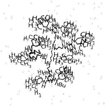 CCCCN(c1nc(NCCCN(CCCCN(CCCNc2nc(NC3CC(C)(C)N(C)C(C)(C)C3)nc(NC3CC(C)(C)N(C)C(C)(C)C3)n2)CCCNc2nc(NC3CC(C)(C)N(C)C(C)(C)C3)nc(NC3CC(C)(C)N(C)C(C)(C)C3)n2)CCCNc2nc(NC3CC(C)(C)N(C)C(C)(C)C3)nc(NC3CC(C)(C)N(C)C(C)(C)C3)n2)nc(NC2CC(C)(C)N(C)C(C)(C)C2)n1)C1CC(C)(C)N(C)C(C)(C)C1